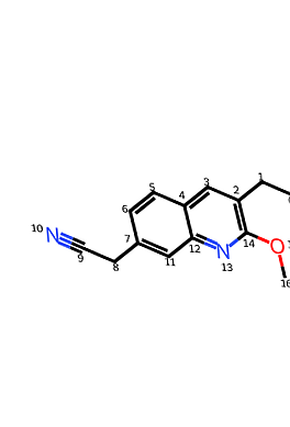 CCc1cc2ccc(CC#N)cc2nc1OC